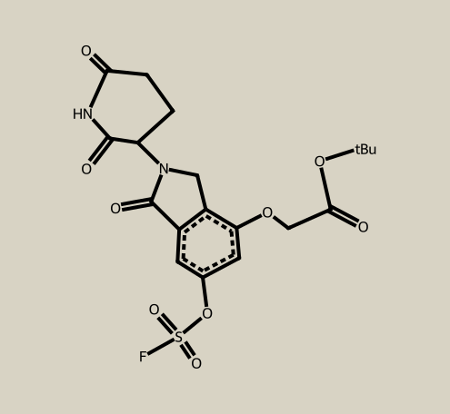 CC(C)(C)OC(=O)COc1cc(OS(=O)(=O)F)cc2c1CN(C1CCC(=O)NC1=O)C2=O